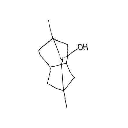 CC12CC3CC(C)(CC3C1)N2O